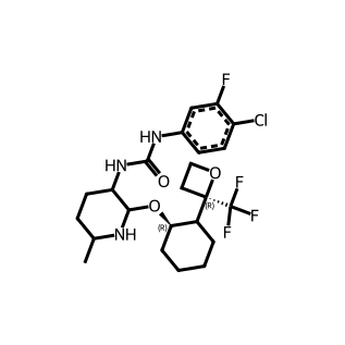 CC1CCC(NC(=O)Nc2ccc(Cl)c(F)c2)C(O[C@@H]2CCCCC2[C@@]2(C(F)(F)F)CCO2)N1